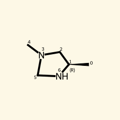 C[C@@H]1CN(C)CN1